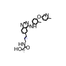 Cc1ccc(Oc2ccc(Nc3ncnc4ccc(/C=C/CNC(=O)[C@H](C)O)cc34)cc2C)cn1